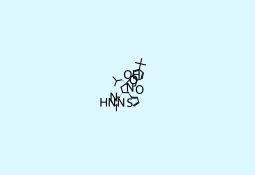 Cc1nc([C@@H]2C[C@@](CC(C)C)(C(=O)O)N(C(=O)c3ccc(C(C)(C)C)cc3)[C@H]2c2cccs2)n[nH]1